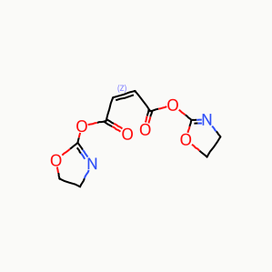 O=C(/C=C\C(=O)OC1=NCCO1)OC1=NCCO1